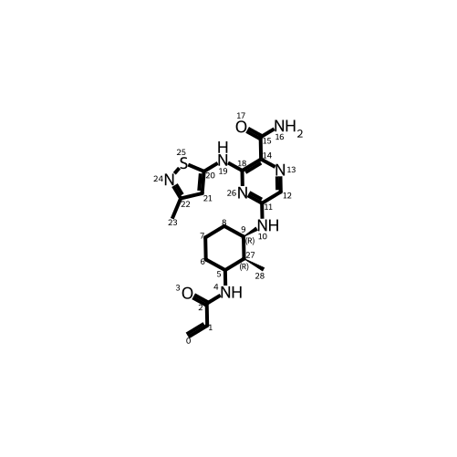 C=CC(=O)NC1CCC[C@@H](Nc2cnc(C(N)=O)c(Nc3cc(C)ns3)n2)[C@H]1C